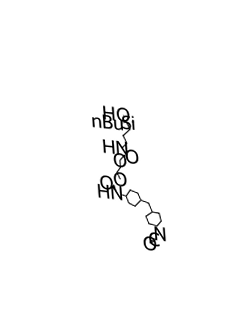 CCCC[Si](C)(O)CCCNC(=O)OCCOC(=O)NC1CCC(CC2CCC(N=C=O)CC2)CC1